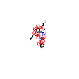 CCCCCOc1cc(C(C#N)(CCC(OC(C)=O)C(CC2Oc3ccccc3O2)[N+](=O)[O-])C(C)CC)c(OCCCCC)c(OC)c1OC